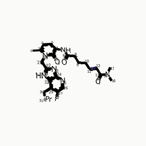 Cc1ccc(NC(=O)[CH]CC/C=C/C(=O)N(C)C)c(=O)n1Cc1nc2ncc(F)c(CC(C)C)c2[nH]1